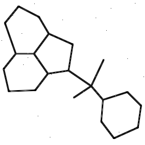 CC(C)(C1CCCCC1)C1CC2CCCC3CCCC1C32